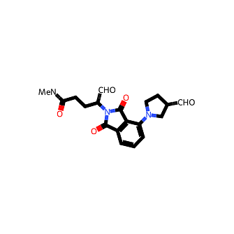 CNC(=O)CCC(C=O)N1C(=O)c2cccc(N3CCC(C=O)C3)c2C1=O